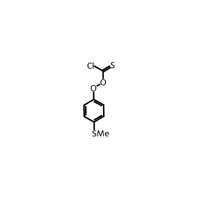 CSc1ccc(OOC(=S)Cl)cc1